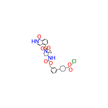 O=C(NC1CCN(S(=O)(=O)c2cccc3c(=O)[nH]ccc23)C12CC2)OCc1cccc(C2CCC(C(=O)OCCl)CC2)c1